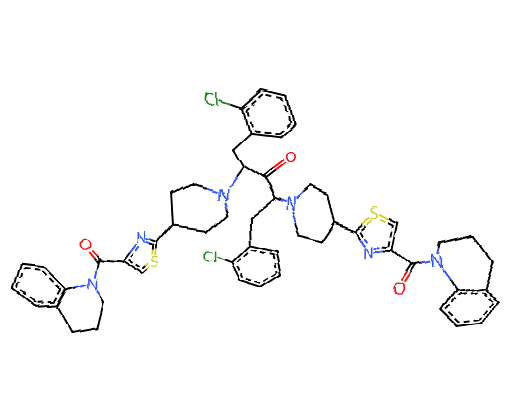 O=C(C(Cc1ccccc1Cl)N1CCC(c2nc(C(=O)N3CCCc4ccccc43)cs2)CC1)C(Cc1ccccc1Cl)N1CCC(c2nc(C(=O)N3CCCc4ccccc43)cs2)CC1